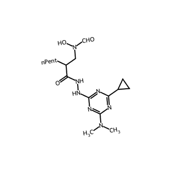 CCCCCC(CN(O)C=O)C(=O)NNc1nc(C2CC2)nc(N(C)C)n1